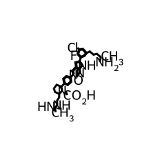 CC(=N)NCCC1CCCC(c2ccc(-n3cc4cc(-c5cc(CCCC(C)N)cc(Cl)c5F)[nH]c4nc3=O)cc2)N1CC(=O)O